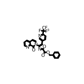 O=C(OCc1ccccc1)c1nc(-n2ccc3cccnc3c2=O)c(-c2ccc(C(F)(F)C(F)(F)F)nc2)o1